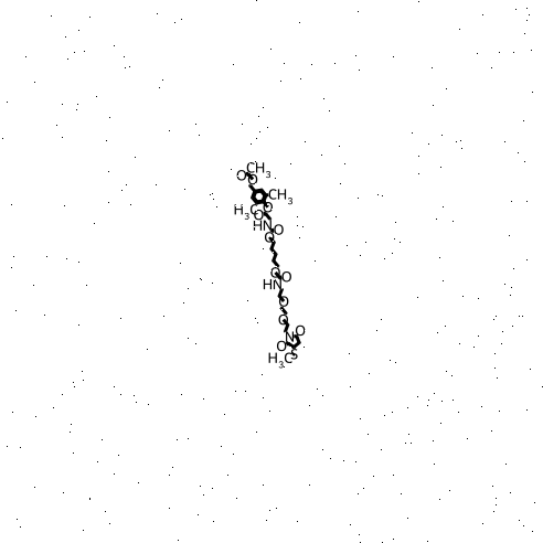 CSC1CC(=O)N(CCOCCOCCNC(=O)OCCCCCOC(=O)NCC(=O)Oc2c(C)cc(COC(C)=O)cc2C)C1=O